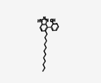 CCCCCCCCCCCCc1ccc2[nH]nnc2c1-c1ccccc1O